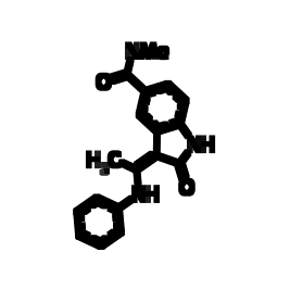 CNC(=O)c1ccc2c(c1)/C(=C(\C)Nc1ccccc1)C(=O)N2